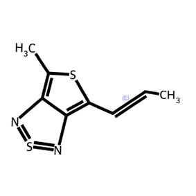 C/C=C/c1sc(C)c2c1N=S=N2